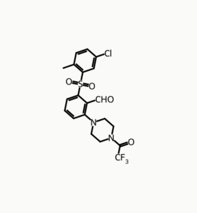 Cc1ccc(Cl)cc1S(=O)(=O)c1cccc(N2CCN(C(=O)C(F)(F)F)CC2)c1C=O